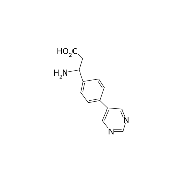 NC(CC(=O)O)c1ccc(-c2cncnc2)cc1